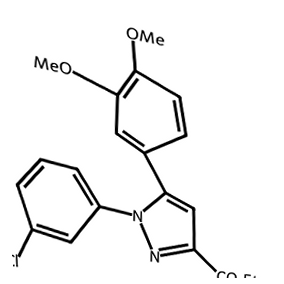 CCOC(=O)c1cc(-c2ccc(OC)c(OC)c2)n(-c2cccc(Cl)c2)n1